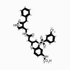 O=C(O)Nc1ccc2c(c1)N(S(=O)(=O)c1cccc(C(F)(F)F)c1)CC(CC(=O)NCc1c[nH]nc1Cc1ccccc1)O2